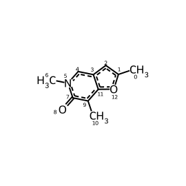 Cc1cc2cn(C)c(=O)c(C)c2o1